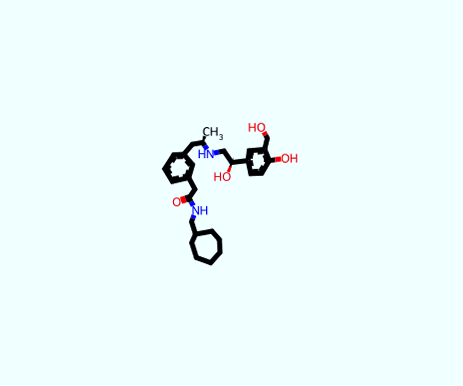 C[C@H](Cc1cccc(CC(=O)NCC2CCCCCC2)c1)NC[C@H](O)c1ccc(O)c(CO)c1